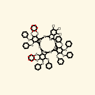 Clc1cc2c(c(Cl)c1Cl)-c1nc-2nc2[nH]c(nc3nc(nc4c5c(Sc6ccccc6)c(Sc6ccccc6)c(Sc6ccccc6)c(Sc6ccccc6)c5c(n1)n4Cl)-c1c(Sc4ccccc4)c(Sc4ccccc4)c(Sc4ccccc4)c(Sc4ccccc4)c1-3)c1c(Sc3ccccc3)c(Sc3ccccc3)c(Sc3ccccc3)c(Sc3ccccc3)c21